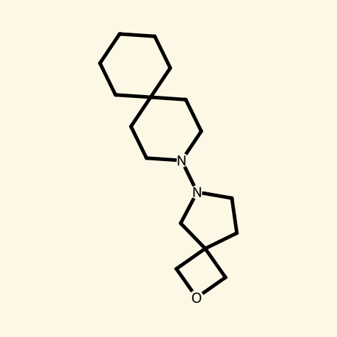 C1CCC2(CC1)CCN(N1CCC3(COC3)C1)CC2